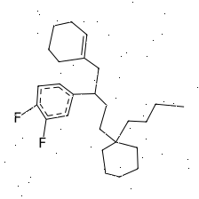 CCCCC1(CCC(CC2=CCCCC2)c2ccc(F)c(F)c2)CCCCC1